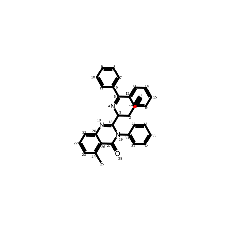 C#CCC(N=C(c1ccccc1)c1ccccc1)c1nc2cccc(C)c2c(=O)n1-c1ccccc1